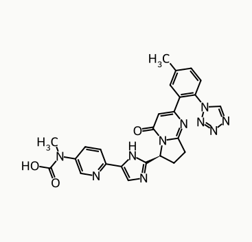 Cc1ccc(-n2cnnn2)c(-c2cc(=O)n3c(n2)CC[C@H]3c2ncc(-c3ccc(N(C)C(=O)O)cn3)[nH]2)c1